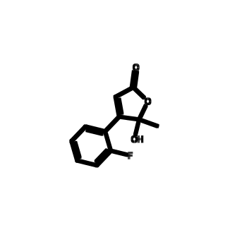 CC1(O)OC(=O)C=C1c1ccccc1F